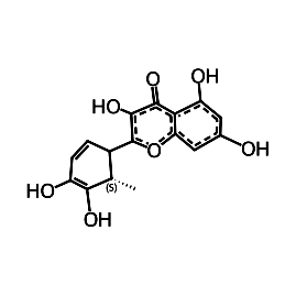 C[C@@H]1C(O)=C(O)C=CC1c1oc2cc(O)cc(O)c2c(=O)c1O